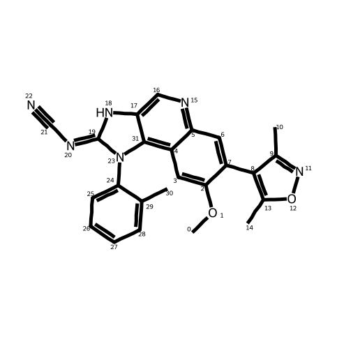 COc1cc2c(cc1-c1c(C)noc1C)ncc1[nH]c(=NC#N)n(-c3ccccc3C)c12